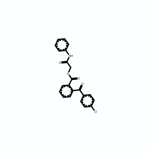 O=C(COC(=O)c1ccccc1C(=O)c1ccc(Cl)cc1)Nc1ccccc1